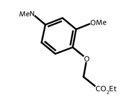 CCOC(=O)COc1ccc(NC)cc1OC